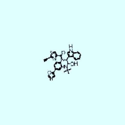 C#Cc1nc(C(=O)N(c2ccc(-c3cnco3)cc2)C(c2c[nH]c3ccccc23)C(O)NC(C)(C)C)cs1